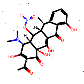 CC(=O)C1=C(O)[C@@H](N(C)C)[C@@H]2C(O[N+](=O)[O-])[C@H]3C(=C(O)[C@]2(O)C1=O)C(=O)c1c(O)cccc1[C@@H]3C